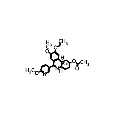 CCOc1cc2c(cc1OC)C(c1ccc(OC)nc1)=N[C@@H]1CC[C@@H](OC(C)=O)C[C@H]21